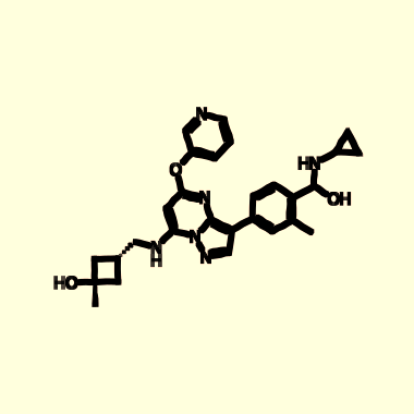 Cc1cc(-c2cnn3c(NC[C@H]4C[C@@](C)(O)C4)cc(Oc4cccnc4)nc23)ccc1C(O)NC1CC1